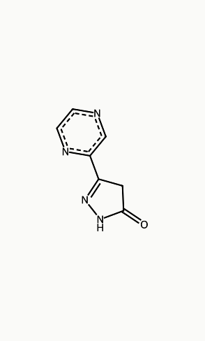 O=C1CC(c2cnccn2)=NN1